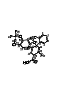 Cc1ccccc1C1(Oc2ccc(Cl)c(OC(F)(F)F)c2)C=C(F)C(C(=O)O)C=C1Cl